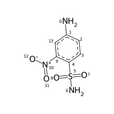 Nc1ccc(S(N)(=O)=O)c([N+](=O)[O-])c1